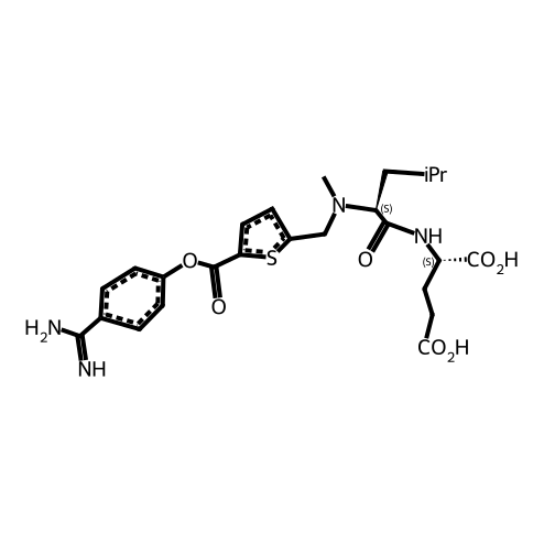 CC(C)C[C@@H](C(=O)N[C@@H](CCC(=O)O)C(=O)O)N(C)Cc1ccc(C(=O)Oc2ccc(C(=N)N)cc2)s1